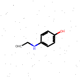 O=CCNc1ccc(O)cc1